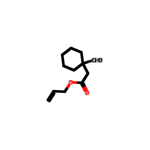 C=CCOC(=O)CC1(C=O)CCCCC1